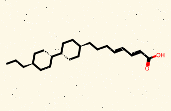 CCC[C@H]1CC[C@H]([C@H]2CC[C@H](CCC/C=C/C=C/C(=O)O)CC2)CC1